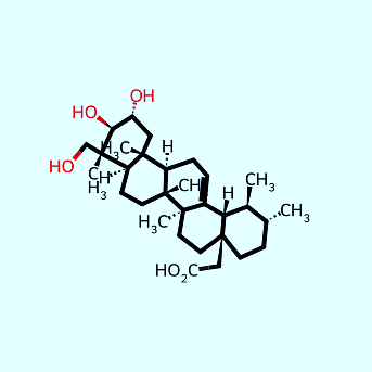 C[C@H]1[C@H](C)CC[C@]2(CC(=O)O)CC[C@]3(C)C(=CC[C@@H]4[C@@]5(C)C[C@@H](O)[C@H](O)[C@@](C)(CO)[C@@H]5CC[C@]43C)[C@H]12